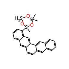 C[Si]1(C)O[SiH2]O[Si](C)(c2cccc3cc4ccc5cc6ccccc6cc5c4cc23)O1